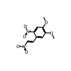 COc1cc(C=C[N+](=O)[O-])c([N+](=O)[O-])cc1OC